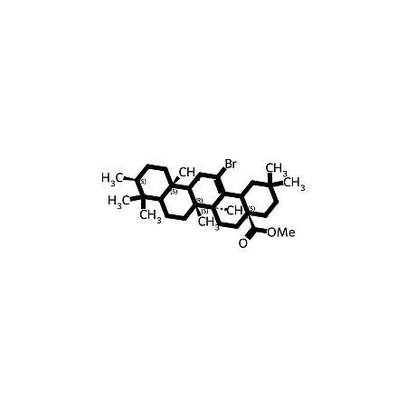 COC(=O)[C@]12CCC(C)(C)CC1C1=C(Br)CC3[C@@]4(C)CC[C@H](C)C(C)(C)C4CC[C@@]3(C)[C@]1(C)CC2